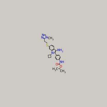 CC(C)OC(=O)Nc1ccc(-c2c(N)c3ccc(SCCc4nncn4C)cc3n2C2CCC2)cc1